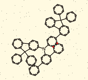 c1ccc(-c2ccc(-c3ccccc3)c(N(c3ccc(-c4cccc5c4-c4ccccc4C5(c4ccccc4)c4ccccc4)cc3)c3ccc4c(c3)C(c3ccccc3)(c3ccccc3)c3ccccc3-4)c2)cc1